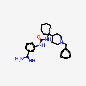 N=C(N)c1cccc(NC(=O)NC2(C3CCN(Cc4ccccc4)CC3)CCCCCC2)c1